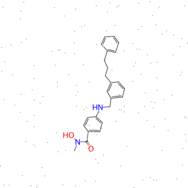 CN(O)C(=O)c1ccc(NCc2cccc(CCCc3ccccc3)c2)cc1